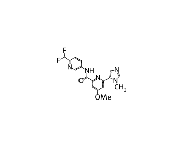 COc1cc(C(=O)Nc2ccc(C(F)F)nc2)nc(-c2cncn2C)c1